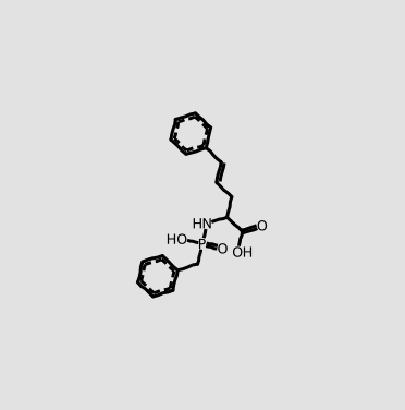 O=C(O)C(CC=Cc1ccccc1)NP(=O)(O)Cc1ccccc1